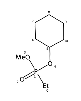 CCP(=O)(OC)OC1CCCCC1